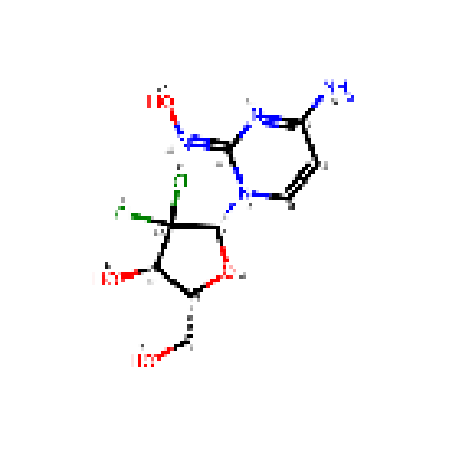 Nc1ccn([C@@H]2O[C@H](CO)[C@@H](O)C2(Cl)Cl)/c(=N/O)n1